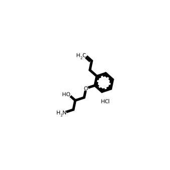 C=CCc1ccccc1OCC(O)CN.Cl